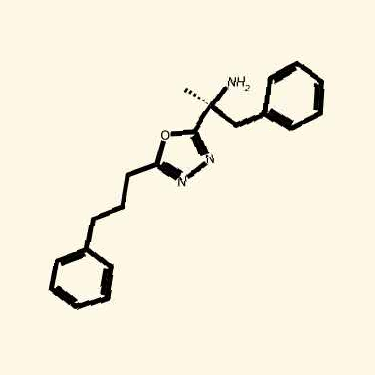 C[C@](N)(Cc1ccccc1)c1nnc(CCCc2ccccc2)o1